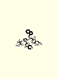 CSCC[C@H](NC(=O)CN(Cc1cccc2ccccc12)C[C@@H]1CCCN1C(=O)CN(C)c1ccncc1)C(=O)O.O=C(O)C(F)(F)F